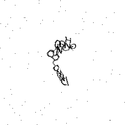 O=C1CCC(N2C(=O)c3cccc4c(Cc5ccc(N6CCN(Cl)CC6)cc5)ccc2c34)C(=O)N1